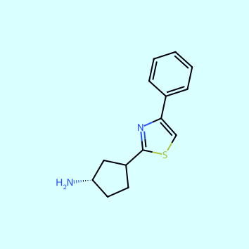 N[C@H]1CCC(c2nc(-c3ccccc3)cs2)C1